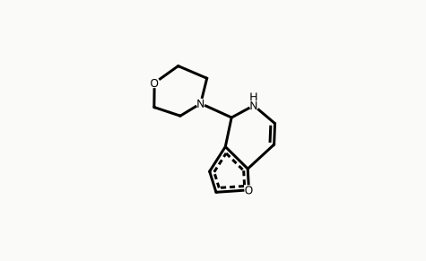 C1=Cc2occc2C(N2CCOCC2)N1